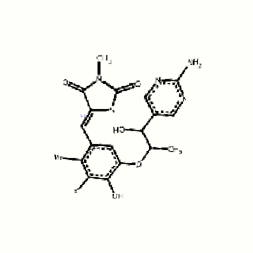 CC(Oc1cc(/C=C2\SC(=O)N(C)C2=O)c(Br)c(F)c1O)C(O)c1cnc(N)nc1